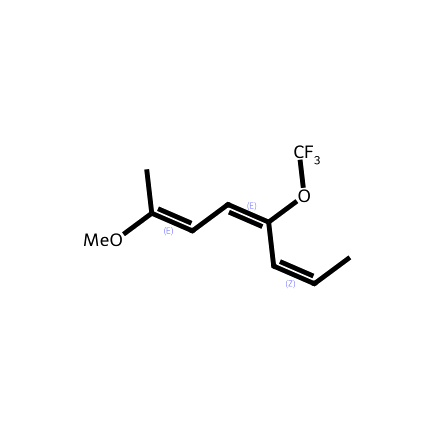 C\C=C/C(=C\C=C(/C)OC)OC(F)(F)F